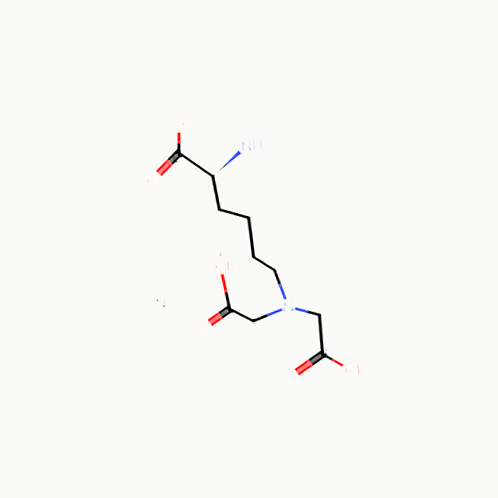 N[C@@H](CCCCN(CC(=O)O)CC(=O)O)C(=O)O.[NaH]